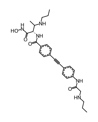 CCCNCC(=O)Nc1ccc(C#Cc2ccc(C(=O)N[C@H](C(=O)NO)C(C)NCCC)cc2)cc1